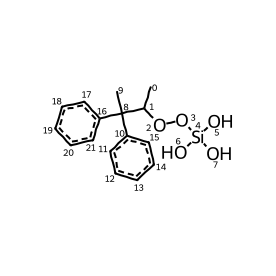 CC(OO[Si](O)(O)O)C(C)(c1ccccc1)c1ccccc1